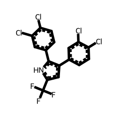 FC(F)(F)c1cc(-c2ccc(Cl)c(Cl)c2)c(-c2ccc(Cl)c(Cl)c2)[nH]1